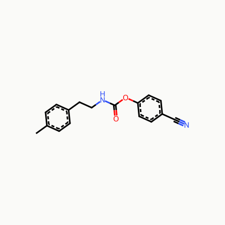 Cc1ccc(CCNC(=O)Oc2ccc(C#N)cc2)cc1